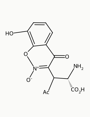 CC(=O)C(c1c(=O)c2cccc(O)c2o[n+]1[O-])[C@H](N)C(=O)O